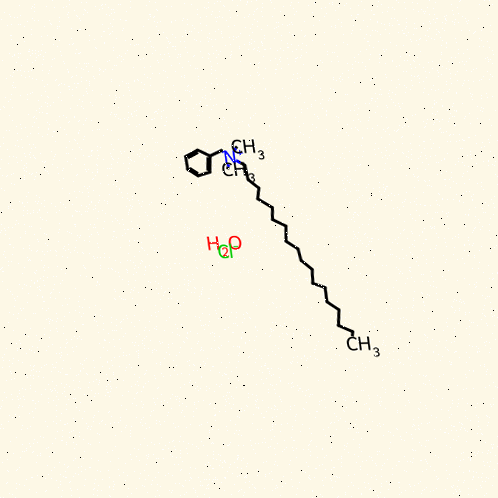 CCCCCCCCCCCCCCCCCC[N+](C)(C)Cc1ccccc1.O.[Cl-]